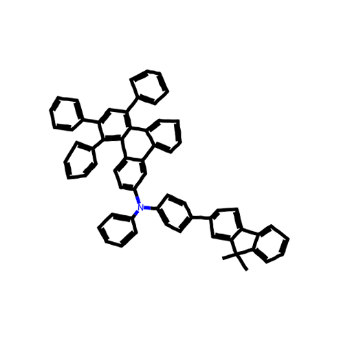 CC1(C)c2ccccc2-c2ccc(-c3ccc(N(c4ccccc4)c4ccc5c(c4)c4ccccc4c4c(-c6ccccc6)cc(-c6ccccc6)c(-c6ccccc6)c54)cc3)cc21